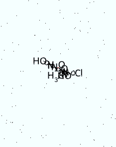 Cc1nn(CC(O)c2ccc(Cl)cc2)c(=O)n1-c1ccc(N2CCN(c3ccc(O)cc3)CC2)cc1.O